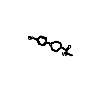 CNC(=O)C1CCN(c2ccc(Br)cc2)CC1